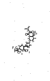 CN(C(=O)c1cc(-c2cnn(-c3ccc(C(F)(C(F)(F)F)C(F)(F)F)cc3C(F)(F)F)c2)ccc1Cl)C1CC1